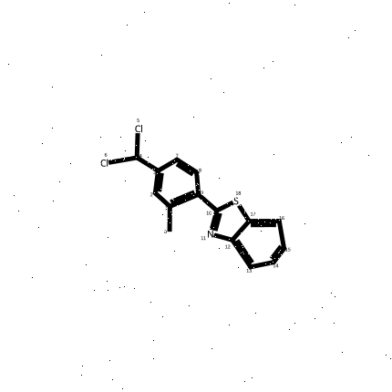 Cc1cc(C(Cl)Cl)ccc1-c1nc2ccccc2s1